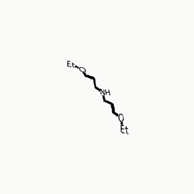 CCOC=CCNCC=COCC